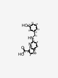 O=C(O)c1cnc2ccc(NCc3cccc(O)c3)nn12